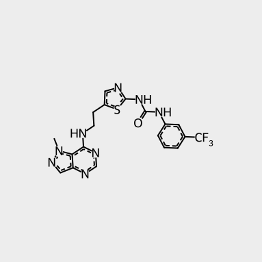 Cn1ncc2ncnc(NCCc3cnc(NC(=O)Nc4cccc(C(F)(F)F)c4)s3)c21